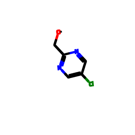 [O]Cc1ncc(Cl)cn1